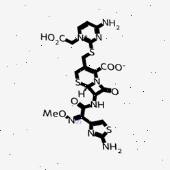 CO/N=C(\C(=O)NC1C(=O)N2C(C(=O)[O-])=C(CSc3nc(N)cc[n+]3CC(=O)O)CS[C@H]12)c1csc(N)n1